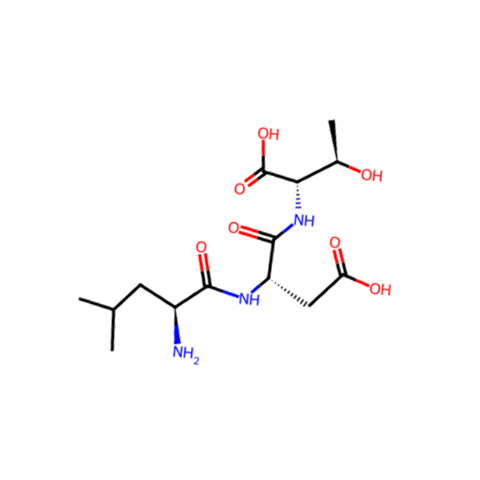 CC(C)C[C@H](N)C(=O)N[C@@H](CC(=O)O)C(=O)N[C@H](C(=O)O)[C@@H](C)O